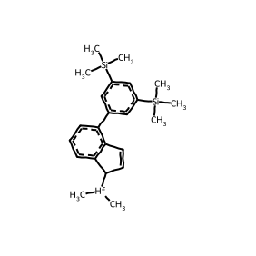 [CH3][Hf]([CH3])[CH]1C=Cc2c(-c3cc([Si](C)(C)C)cc([Si](C)(C)C)c3)cccc21